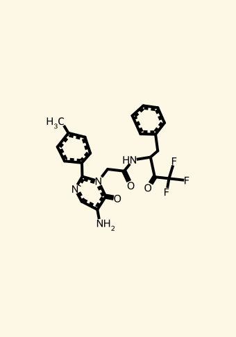 Cc1ccc(-c2ncc(N)c(=O)n2CC(=O)NC(Cc2ccccc2)C(=O)C(F)(F)F)cc1